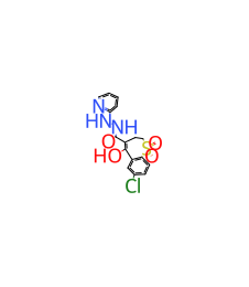 O=C(NNc1ccccn1)C1=C(O)c2cc(Cl)ccc2S(=O)(=O)CC1